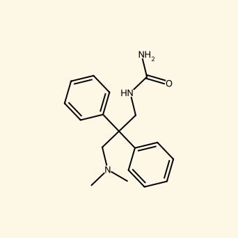 CN(C)CC(CNC(N)=O)(c1ccccc1)c1ccccc1